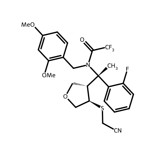 COc1ccc(CN(C(=O)C(F)(F)F)[C@](C)(c2ccccc2F)[C@H]2COC[C@@H]2SCC#N)c(OC)c1